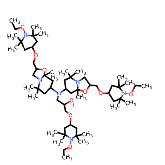 CCON1C(C)(C)CC(OCC(O)CN(C2CC(C)(C)N3CC(COC4CC(C)(C)N(OCC)C(C)(C)C4)OC3(C)C2)C2CC(C)(C)N3CC(COC4CC(C)(C)N(OCC)C(C)(C)C4)OC3(C)C2)CC1(C)C